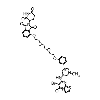 CN1C[C@H](Nc2nc3sccn3c(=O)c2Br)C[C@H](c2cccc(OCCOCCOCCOc3cccc4c3C(=O)N(C3CCC(=O)NC3=O)C4=O)c2)C1